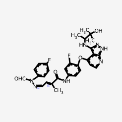 C/C(=C\C=N/N(C=O)c1ccc(F)cc1)C(=O)Nc1ccc(Oc2ccnc3[nH]nc(NC(C)C(C)(C)O)c23)c(F)c1